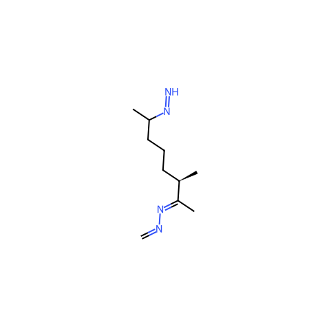 C=N/N=C(\C)[C@H](C)CCCC(C)N=N